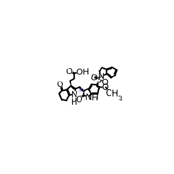 COc1cc2c(cc1S(=O)(=O)N1CCc3ccccc31)/C(=C/c1[nH]c3c(c1CCC(=O)O)C(=O)CCC3)C(=O)N2